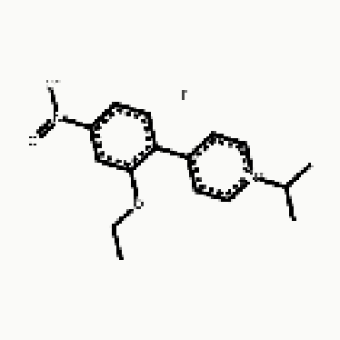 CCOc1cc([N+](=O)[O-])ccc1-c1cc[n+](C(C)C)cc1.[I-]